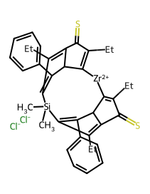 CCC1=[C]2[Zr+2][C]3=C(CC)C(=S)C4=C(CC)C(=C(c5ccccc5)C34)[Si](C)(C)C3=C(c4ccccc4)C2C(=C3CC)C1=S.[Cl-].[Cl-]